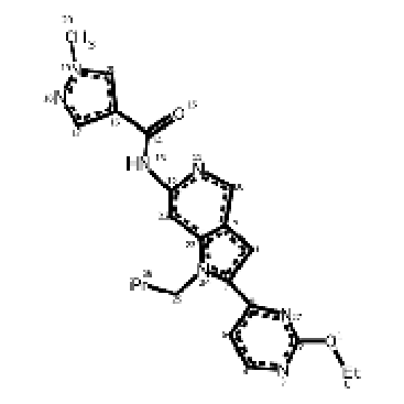 CCOc1nccc(-c2cc3cnc(NC(=O)c4cnn(C)c4)cc3n2CC(C)C)n1